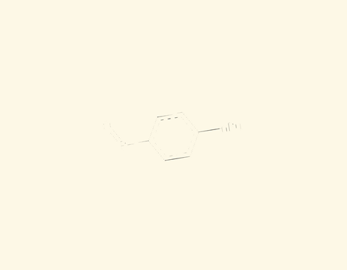 CCCCc1ccc(P=O)cc1